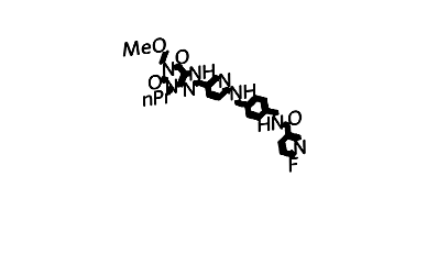 CCCn1c(=O)n(CCOC)c(=O)c2[nH]c(-c3ccc(NCc4ccc(CNC(=O)c5ccc(F)nc5)cc4)nc3)nc21